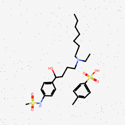 CCCCCCCN(CC)CCCC(O)c1ccc(NS(C)(=O)=O)cc1.Cc1ccc(S(=O)(=O)O)cc1